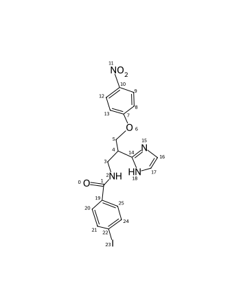 O=C(NCC(COc1ccc([N+](=O)[O-])cc1)c1ncc[nH]1)c1ccc(I)cc1